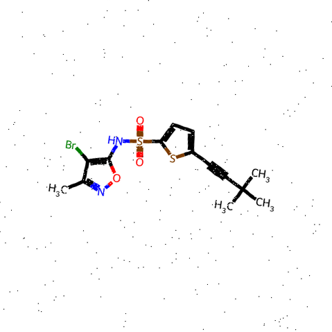 Cc1noc(NS(=O)(=O)c2ccc(C#CC(C)(C)C)s2)c1Br